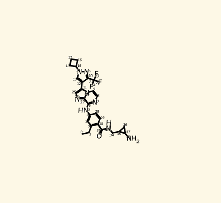 CCc1cc(Nc2nccn3c(-c4cn(C5CCC5)nc4C(F)(F)F)cnc23)ccc1C(=O)NCC1CC1N